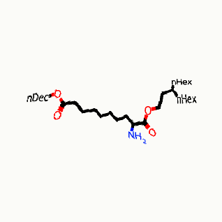 CCCCCCCCCCOC(=O)CCCCCCCC(N)C(=O)OCCC(CCCCCC)CCCCCC